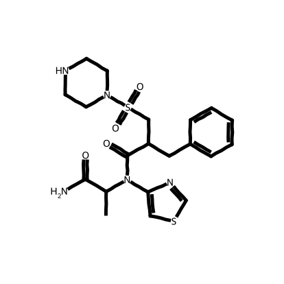 CC(C(N)=O)N(C(=O)C(Cc1ccccc1)CS(=O)(=O)N1CCNCC1)c1cscn1